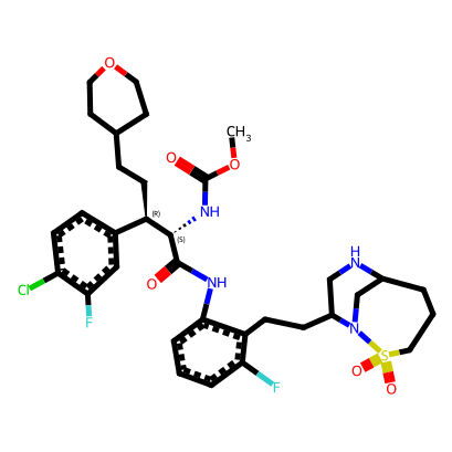 COC(=O)N[C@H](C(=O)Nc1cccc(F)c1CCC1CNC2CCCS(=O)(=O)N1C2)[C@H](CCC1CCOCC1)c1ccc(Cl)c(F)c1